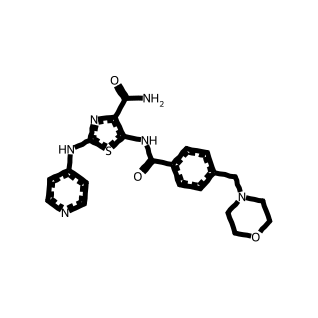 NC(=O)c1nc(Nc2ccncc2)sc1NC(=O)c1ccc(CN2CCOCC2)cc1